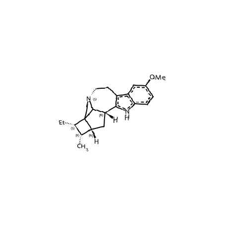 CC[C@H]1[C@@H](C)[C@H]2C[C@H]3c4[nH]c5ccc(OC)cc5c4CC[N@]4C3C214